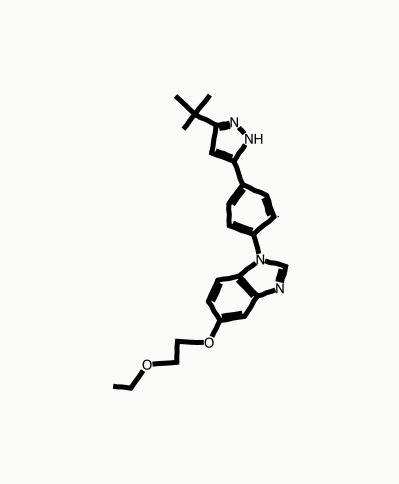 CCOCCOc1ccc2c(c1)ncn2-c1[c]cc(-c2cc(C(C)(C)C)n[nH]2)cc1